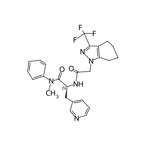 CN(C(=O)[C@H](Cc1cccnc1)NC(=O)Cn1nc(C(F)(F)F)c2c1CCCC2)c1ccccc1